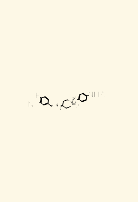 CC(=O)Nc1ccc(S(=O)(=O)N2CCC(=NOCc3ccc(F)c(C#N)c3)CC2)cc1